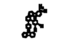 CC1(C#N)C=Cc2c(c3ccccc3n2C2=C(c3ccccc3-c3ccc(N4c5ccccc5C5C=CC=CC54)cc3)C=C(C#N)C(C#N)C2)C1